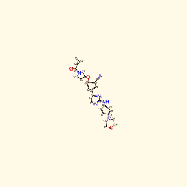 N#Cc1cc(-c2ccnc(Nc3ccc(N4CCOCC4)cc3)n2)ccc1OC1CCN(C(=O)C2CC2)C1